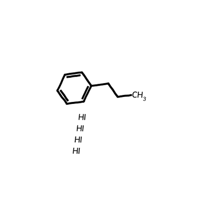 CCCc1ccccc1.I.I.I.I